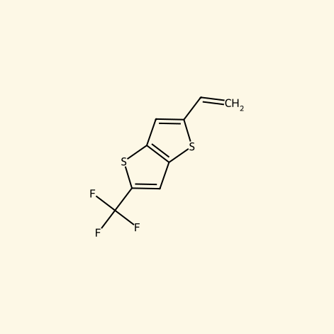 C=Cc1cc2sc(C(F)(F)F)cc2s1